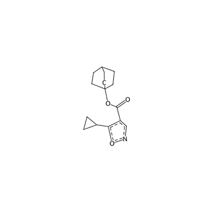 O=C(OC12CCC(CC1)CC2)c1cnoc1C1CC1